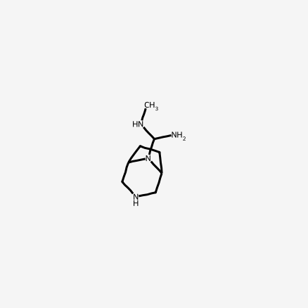 CNC(N)N1C2CCC1CNC2